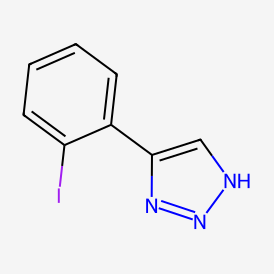 Ic1ccccc1-c1c[nH]nn1